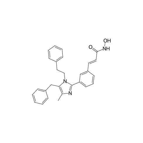 Cc1nc(-c2cccc(C=CC(=O)NO)c2)n(CCc2ccccc2)c1Cc1ccccc1